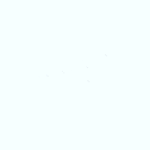 C=CC(=O)N1CC2COc3c(c4cc(Cl)c(-c5c(O)cccc5Cl)nc4n(-c4c(C)ccnc4C(C)C)c3=O)N2CC1C